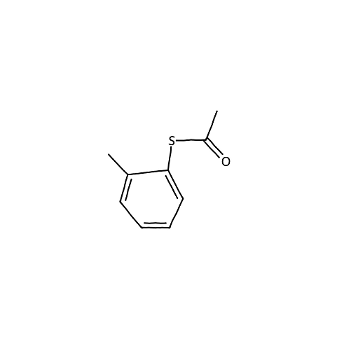 CC(=O)Sc1ccccc1C